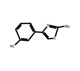 CC(C)(C)c1nc(-c2cccc(C#N)c2)cs1